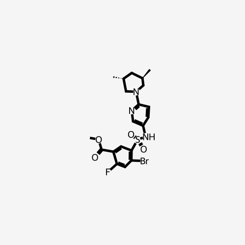 COC(=O)c1cc(S(=O)(=O)Nc2ccc(N3C[C@H](C)C[C@@H](C)C3)nc2)c(Br)cc1F